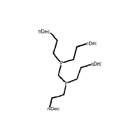 CCCCCCCCCCCCP(CCCCCCCCCCCC)CP(CCCCCCCCCCCC)CCCCCCCCCCCC